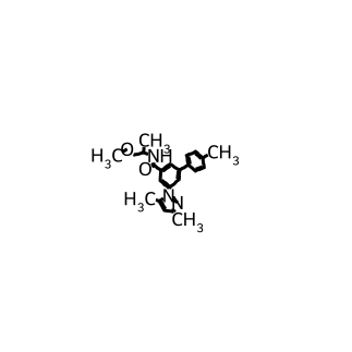 COCC(C)NC(=O)c1cc(-c2ccc(C)cc2)cc(-n2nc(C)cc2C)c1